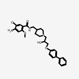 COc1cc(N)c(Cl)cc1C(=O)NCC1CCN(CC(O)COc2ccc(-c3ccccc3)cc2)CC1